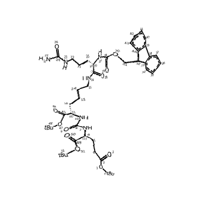 CC(C)(C)OC(=O)CC[C@H](NC(=O)N[C@@H](CCCCNC(=O)[C@H](CCCNC(N)=O)NC(=O)OCC1c2ccccc2-c2ccccc21)C(=O)OC(C)(C)C)C(=O)OC(C)(C)C